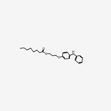 CCCCCCCC(=O)OCCCOc1ccc(Nc2ccccc2)cc1